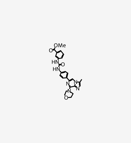 COC(=O)c1cccc(NC(=O)Nc2ccc(-c3cn4c(C)cnc4c(N4CCOCC4)n3)cc2)c1